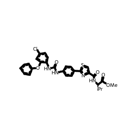 COC(=O)[C@@H](NC(=O)c1csc(-c2ccc(NC(=O)Nc3ccc(Cl)cc3Oc3ccccc3)cc2)n1)C(C)C